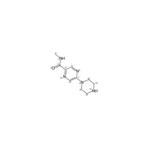 CNC(=O)c1cnc(N2CCNCC2)cn1